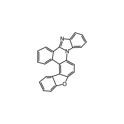 c1ccc2c(c1)nc1c3ccccc3c3c4c(ccc3n21)oc1ccccc14